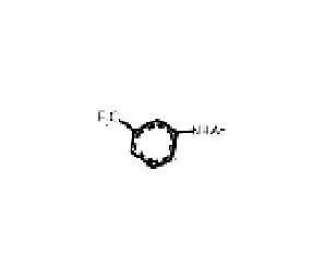 CC(=O)Nc1[c]ccc(C(F)(F)F)c1